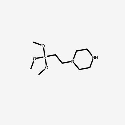 CO[Si](CCN1CCNCC1)(OC)OC